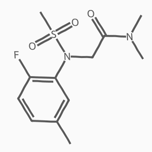 Cc1ccc(F)c(N(CC(=O)N(C)C)S(C)(=O)=O)c1